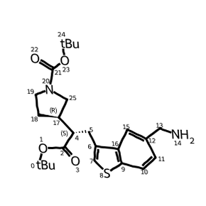 CC(C)(C)OC(=O)[C@@H](Cc1csc2ccc(CN)cc12)[C@H]1CCN(C(=O)OC(C)(C)C)C1